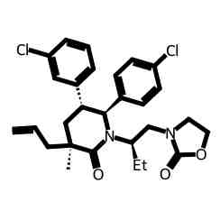 C=CC[C@@]1(C)C[C@H](c2cccc(Cl)c2)[C@@H](c2ccc(Cl)cc2)N([C@H](CC)CN2CCOC2=O)C1=O